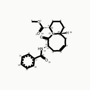 COC(=O)[C@@H]1CCC[C@@H]2CC=CC[C@H](NC(=O)c3ccccc3)C(=O)N21